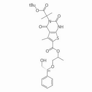 Cc1c(C(=O)OC(C)CO[C@@H](CO)c2ccccc2)sc2[nH]c(=O)n(C(C)(C)C(=O)OC(C)(C)C)c(=O)c12